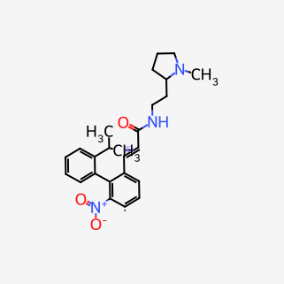 CC(C)c1ccccc1-c1c([N+](=O)[O-])[c]ccc1/C=C/C(=O)NCCC1CCCN1C